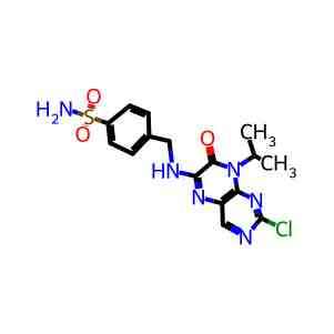 CC(C)n1c(=O)c(NCc2ccc(S(N)(=O)=O)cc2)nc2cnc(Cl)nc21